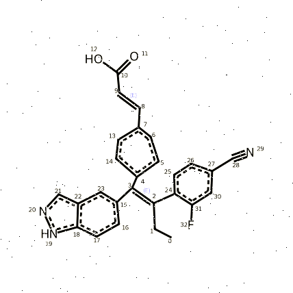 CC/C(=C(/c1ccc(/C=C/C(=O)O)cc1)c1ccc2[nH]ncc2c1)c1ccc(C#N)cc1F